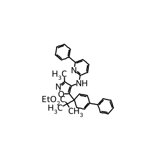 CCOC(=O)C(C)(C)C1(c2onc(C)c2Nc2cccc(-c3ccccc3)n2)C=CC(c2ccccc2)=CC1